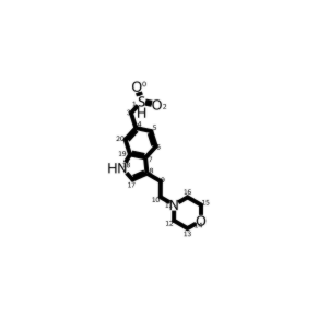 O=[SH](=O)Cc1ccc2c(CCN3CCOCC3)c[nH]c2c1